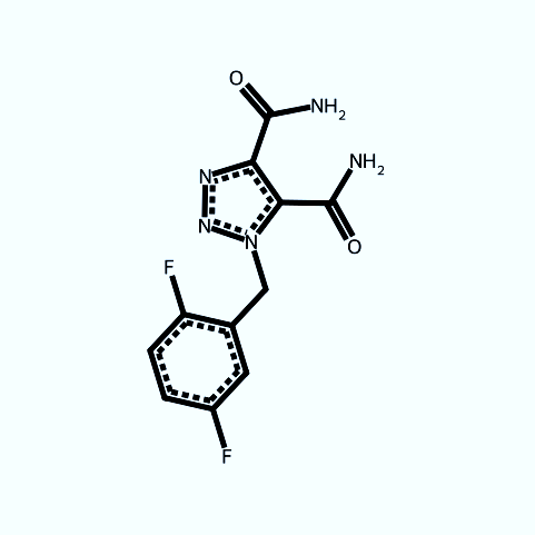 NC(=O)c1nnn(Cc2cc(F)ccc2F)c1C(N)=O